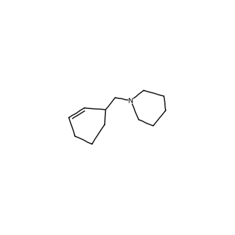 C1=CC(CN2CCCCC2)CCC1